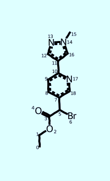 CCOC(=O)C(Br)c1ccc(-c2cnn(C)c2)nc1